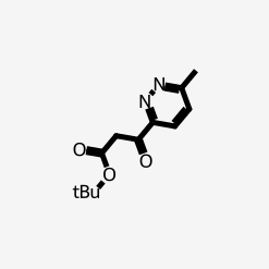 Cc1ccc(C(=O)CC(=O)OC(C)(C)C)nn1